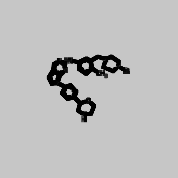 CCN1CCN(Cc2cc(Nc3ncc4ccn(-c5ccc(C6CNCCO6)cc5)c4n3)ccc2C)CC1